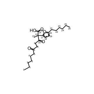 CCCCCCC(=O)CCC(=O)C(C)(C(=O)O)c1ccc(CCCCCC)o1